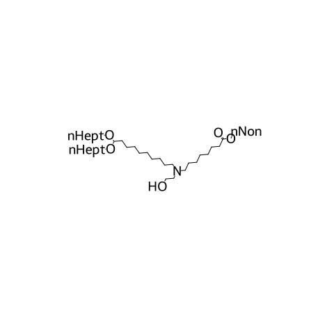 CCCCCCCCCOC(=O)CCCCCCCN(CCO)CCCCCCCCCC(OCCCCCCC)OCCCCCCC